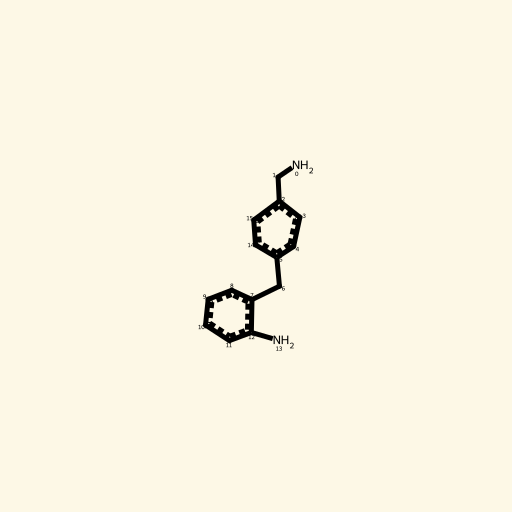 NCc1ccc(Cc2cc[c]cc2N)cc1